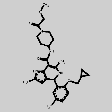 COCC(=O)N1CCC(NC(=O)C2=C(C)NC(c3cc(C)ccc3OCC3CC3)c3cc(C)[nH]c32)CC1